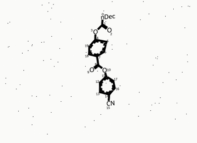 CCCCCCCCCCC(=O)Oc1ccc(C(=O)Oc2ccc(C#N)cc2)cc1